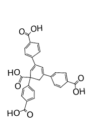 O=C(O)c1ccc(C2=CC(C(=O)O)(c3ccc(C(=O)O)cc3)CC(c3ccc(C(=O)O)cc3)=C2)cc1